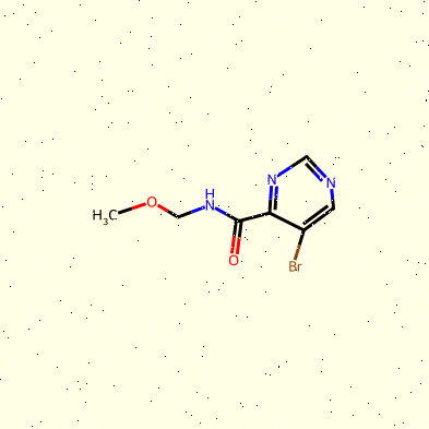 COCNC(=O)c1ncncc1Br